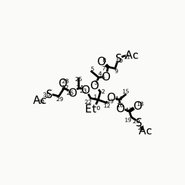 CCC(COC(C)OC(=O)CSC(C)=O)(COC(C)OC(=O)CSC(C)=O)COC(C)OC(=O)CSC(C)=O